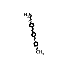 CCCCOc1ccc(CCC2=CCC(CC[C@H]3CC[C@H](CCC)CC3)CC2)cc1